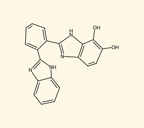 Oc1ccc2nc(-c3ccccc3-c3nc4ccccc4[nH]3)[nH]c2c1O